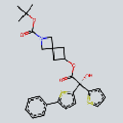 CC(C)(C)OC(=O)N1CC2(CC(OC(=O)[C@@](O)(c3cccs3)c3ccc(-c4ccccc4)s3)C2)C1